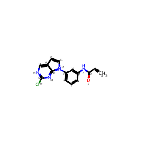 C=CC(=O)Nc1cccc(-n2ccc3cnc(Cl)nc32)c1